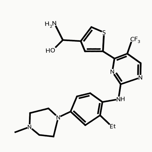 CCc1cc(N2CCN(C)CC2)ccc1Nc1ncc(C(F)(F)F)c(-c2cc(C(N)O)cs2)n1